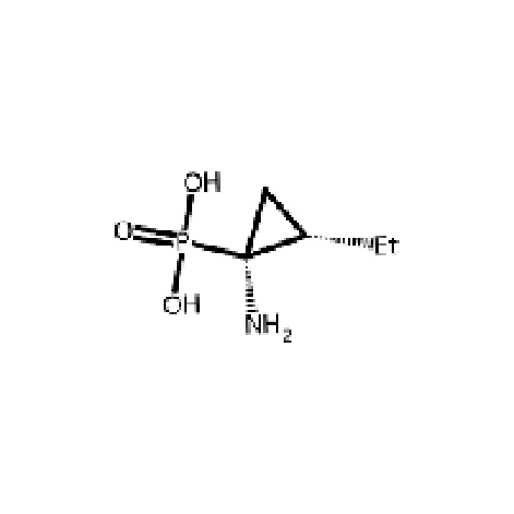 CC[C@H]1C[C@]1(N)P(=O)(O)O